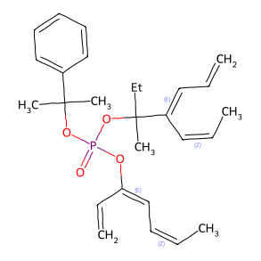 C=C/C=C(\C=C/C)C(C)(CC)OP(=O)(O/C(C=C)=C/C=C\C)OC(C)(C)c1ccccc1